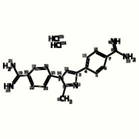 Cc1nc(-c2ccc(C(=N)N)cc2)cn1-c1ccc(C(=N)N)cc1.Cl.Cl